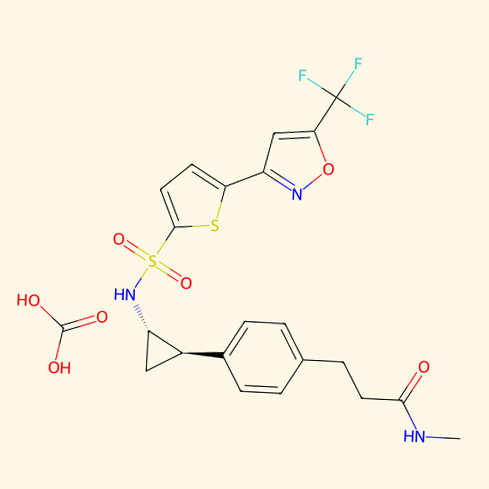 CNC(=O)CCc1ccc([C@H]2C[C@@H]2NS(=O)(=O)c2ccc(-c3cc(C(F)(F)F)on3)s2)cc1.O=C(O)O